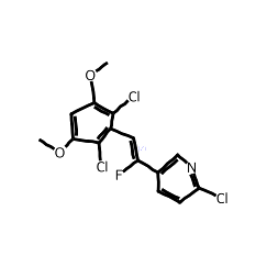 COc1cc(OC)c(Cl)c(/C=C(\F)c2ccc(Cl)nc2)c1Cl